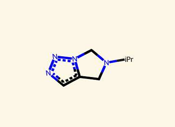 CC(C)N1Cc2cnnn2C1